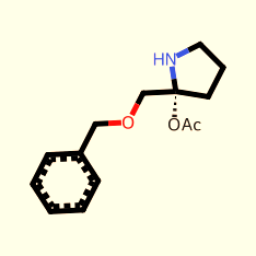 CC(=O)O[C@@]1(COCc2ccccc2)CCCN1